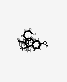 [2H]C1([2H])c2ccc(OC)cc2[C@]23CCCCC2[C@H]1N(C)CC3